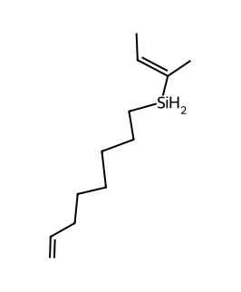 C=CCCCCCC[SiH2]C(C)=CC